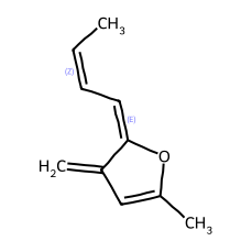 C=c1cc(C)o/c1=C/C=C\C